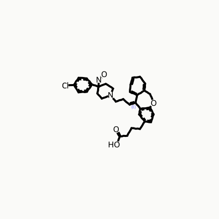 O=NC1(c2ccc(Cl)cc2)CCN(CC/C=C2\C3=CC=CCC=C3COc3ccc(CCCC(=O)O)cc32)CC1